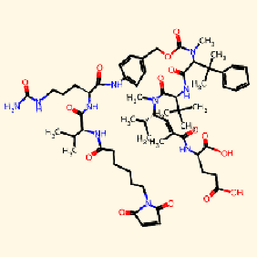 C/C(=C\[C@H](C(C)C)N(C)C(=O)[C@@H](NC(=O)[C@@H](N(C)C(=O)OCc1ccc(NC(=O)[C@H](CCCNC(N)=O)NC(=O)[C@@H](NC(=O)CCCCCN2C(=O)C=CC2=O)C(C)C)cc1)C(C)(C)c1ccccc1)C(C)(C)C)C(=O)N[C@H](CCC(=O)O)C(=O)O